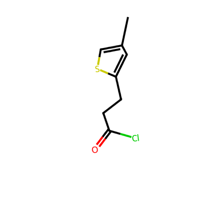 Cc1csc(CCC(=O)Cl)c1